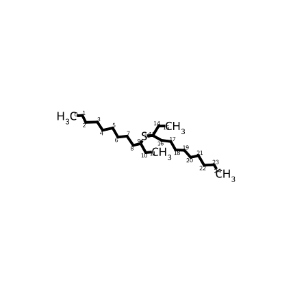 CCCCCCCCCC(CC)SC(CC)CCCCCCCCC